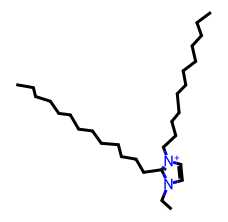 CCCCCCCCCCCCCc1n(CC)cc[n+]1CCCCCCCCCCCC